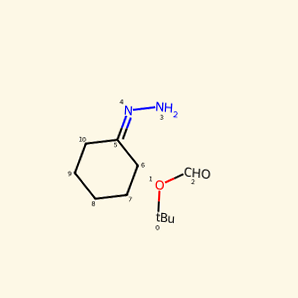 CC(C)(C)OC=O.NN=C1CCCCC1